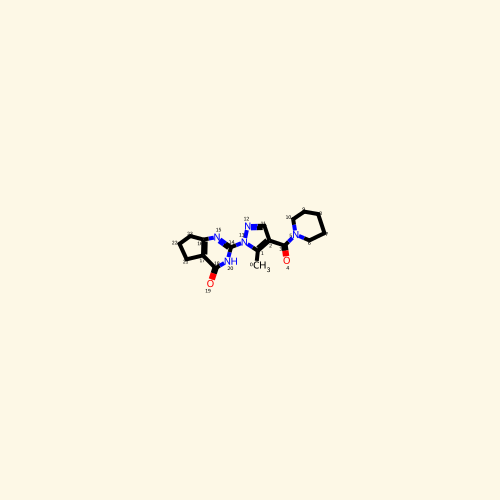 Cc1c(C(=O)N2CCCCC2)cnn1-c1nc2c(c(=O)[nH]1)CCC2